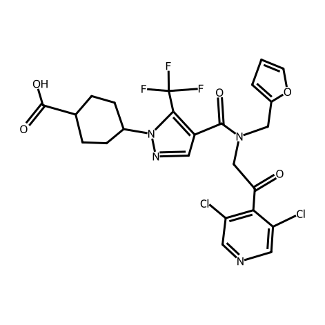 O=C(CN(Cc1ccco1)C(=O)c1cnn(C2CCC(C(=O)O)CC2)c1C(F)(F)F)c1c(Cl)cncc1Cl